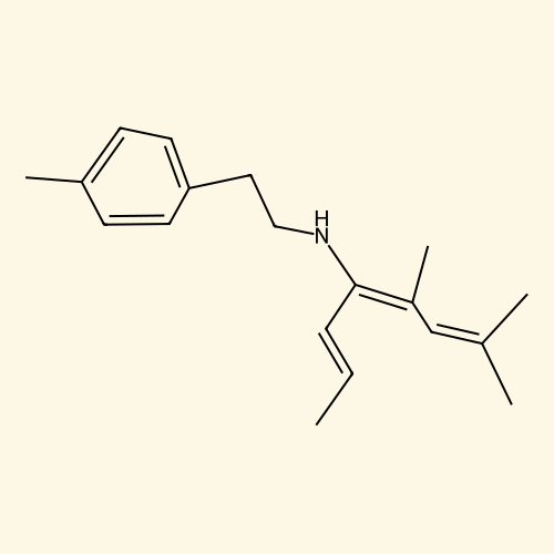 C/C=C/C(NCCc1ccc(C)cc1)=C(/C)C=C(C)C